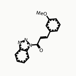 COc1cccc(C=CC(=O)n2nnc3ccccc32)c1